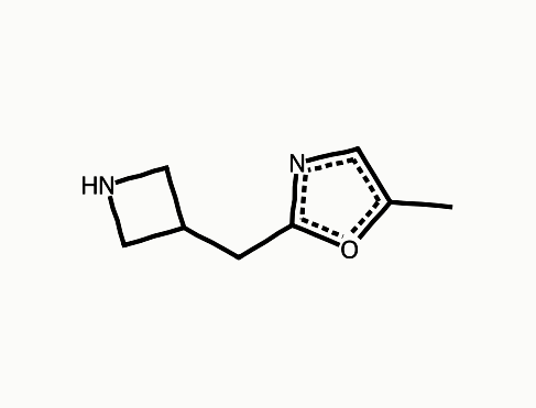 Cc1cnc(CC2CNC2)o1